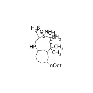 BCC1CPC2CCCC(CCCCCCCC)CC(C2)C(C)(C)CC(B)(C)S1(=N)=O